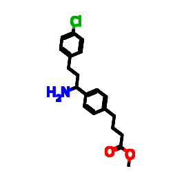 COC(=O)CCCc1ccc(C(N)CCc2ccc(Cl)cc2)cc1